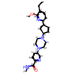 CCc1ccc(C2CCC(N3CCN(c4ccc(C(=O)NC)nc4)CC3)C2)nc1OC